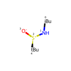 CCC(C)N[S@+]([O-])C(C)(C)C